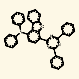 c1ccc(-c2nc(-c3ccccc3)nc(-c3ccc(N(c4ccccc4)c4ccccc4)c4c3oc3ccccc34)n2)cc1